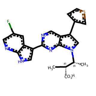 C[C@H]([C@@H](C)C(=O)O)n1cc(-c2ccsc2)c2cnc(-c3c[nH]c4ncc(F)cc34)nc21